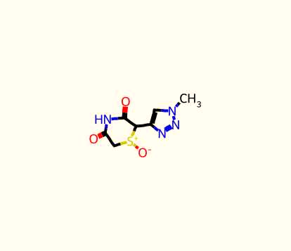 Cn1cc(C2C(=O)NC(=O)C[S+]2[O-])nn1